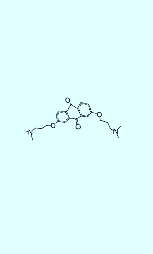 CN(C)CCCOc1ccc2c(c1)C(=O)c1cc(OCCCN(C)C)ccc1C2=O